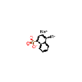 CC(C)c1ccc(S(=O)(=O)[O-])c2ccccc12.[Na+]